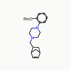 COc1ccccc1N1CCN(CC2CC3C=CC2C3)CC1